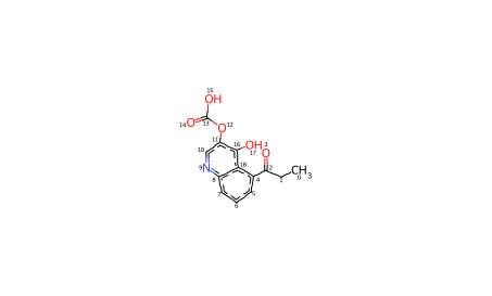 CCC(=O)c1cccc2ncc(OC(=O)O)c(O)c12